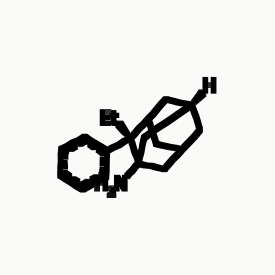 CC[C@@]1(c2ccccc2)C2CC3C[C@@H](C2)CC1(N)C3